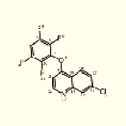 Fc1cc(F)c(F)c(Oc2ccnc3cc(Cl)ccc23)c1F